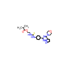 CC(C)C(=O)OCCNC(=S)Nc1ccc(C(=N)/N=C(\c2ccc[nH]2)N2CCOCC2)cc1